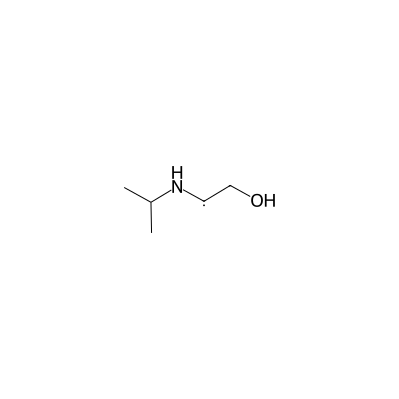 CC(C)N[CH]CO